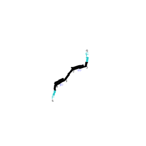 F/C=C/C=C/F